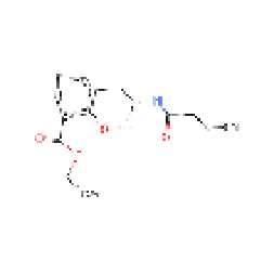 CC(=O)OCOC(=O)c1cccc2c1OBC(NC(=O)CCC#N)C2